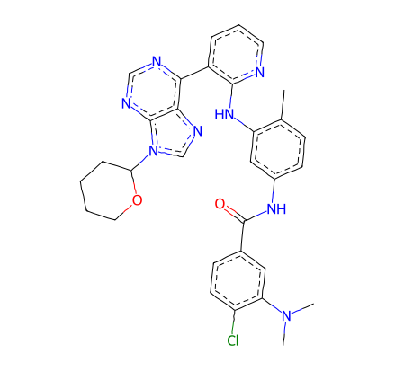 Cc1ccc(NC(=O)c2ccc(Cl)c(N(C)C)c2)cc1Nc1ncccc1-c1ncnc2c1ncn2C1CCCCO1